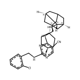 N#Cc1cnc(NCc2ccccc2Cl)nc1NC[C@]12CC3C[C@H](C1)[C@@H](N[C@H]1CC[C@H](N)CC1)[C@@H](C3)C2